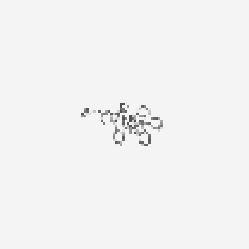 BrCc1ccc2c(-c3ccccc3-c3nnn(C(c4ccccc4)(c4ccccc4)c4ccccc4)n3)oc(Br)c2c1